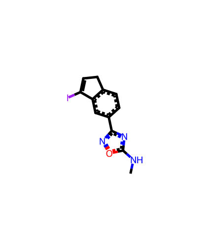 CNc1nc(-c2ccc3c(c2)C(I)=CC3)no1